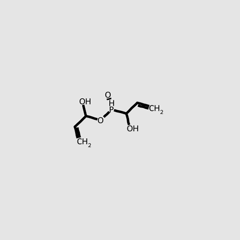 C=CC(O)O[PH](=O)C(O)C=C